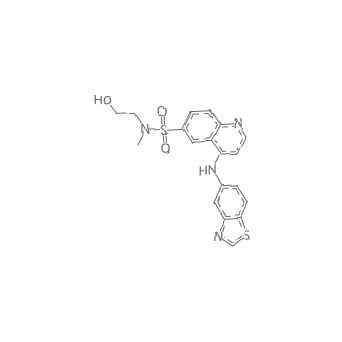 CN(CCO)S(=O)(=O)c1ccc2nccc(Nc3ccc4scnc4c3)c2c1